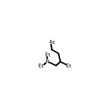 CCC(CCC(C)=O)CN(CC)CC